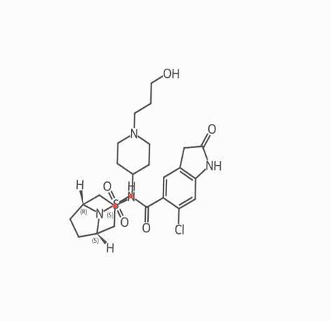 O=C1Cc2cc(C(=O)N[C@@H]3C[C@H]4CC[C@@H](C3)N4S(=O)(=O)CC3CCN(CCCO)CC3)c(Cl)cc2N1